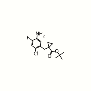 CC(C)(C)OC(=O)C1(Cc2cc(N)c(F)cc2Cl)CC1